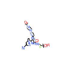 CC(C)(O)[C@H](F)CNC(=O)c1cnc(-c2ccc3cc(C#N)cnn23)cc1Nc1ccc(N2CCN(C3COC3)CC2)nc1